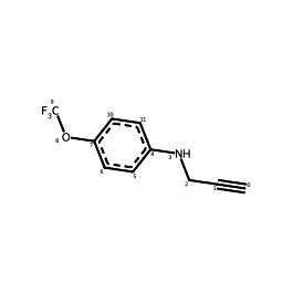 C#CCNc1ccc(OC(F)(F)F)cc1